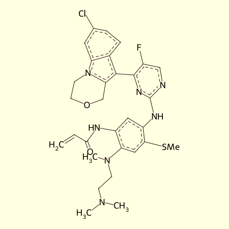 C=CC(=O)Nc1cc(Nc2ncc(F)c(-c3c4n(c5cc(Cl)ccc35)CCOC4)n2)c(SC)cc1N(C)CCN(C)C